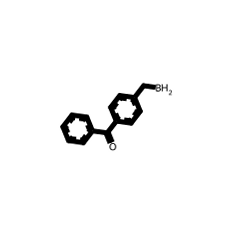 BCc1ccc(C(=O)c2ccccc2)cc1